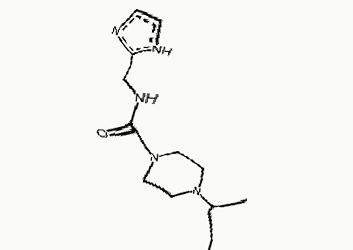 CC(C)N1CCN(C(=O)NCc2ncc[nH]2)CC1